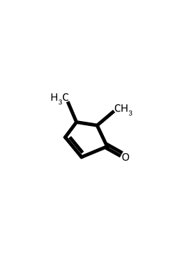 CC1C=CC(=O)C1C